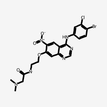 CN(C)CC(=O)[N]CCOc1cc2ncnc(Nc3ccc(Br)c(Cl)c3)c2cc1[N+](=O)[O-]